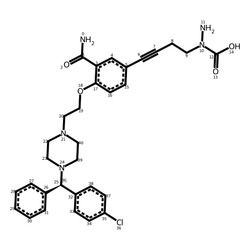 NC(=O)c1cc(C#CCCN(N)C(=O)O)ccc1OCCN1CCN([C@H](c2ccccc2)c2ccc(Cl)cc2)CC1